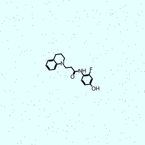 O=C(CCN1CCCc2ccccc21)Nc1ccc(O)cc1F